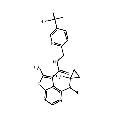 Cc1oc2ncnc(N(I)C3(C)CC3)c2c1C(=O)NCc1ccc(C(F)(F)P)cn1